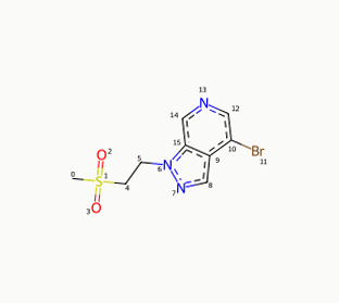 CS(=O)(=O)CCn1ncc2c(Br)cncc21